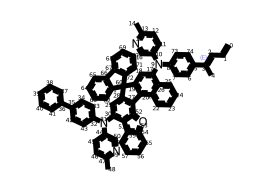 C=C/C=C(\C)c1ccc(N(c2ccc(C)nc2)c2cc3c(c4ccccc24)-c2c(cc(N(c4ccc(-c5ccccc5)cc4)c4ccc(C)nc4)c4c2oc2ccccc24)C32c3ccccc3-c3ccccc32)cc1